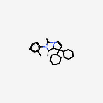 Cc1ccccc1N1C(C)N2C=CC(C3CCCCC3)(C3CCCCC3)C2[C@@H]1C